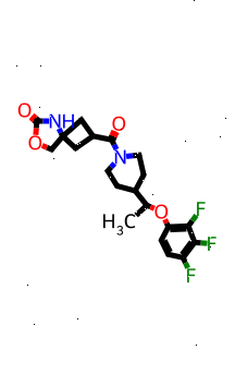 CC(Oc1ccc(F)c(F)c1F)C1CCN(C(=O)C2CC3(COC(=O)N3)C2)CC1